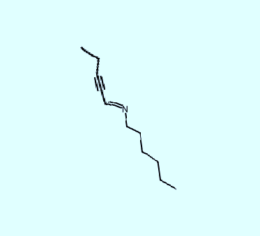 CCC#CC=NCCCCCC